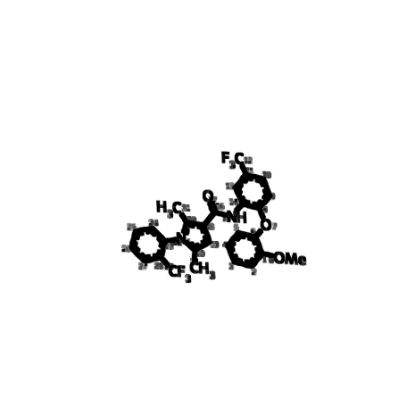 COc1ccccc1Oc1ccc(C(F)(F)F)cc1NC(=O)c1cc(C)n(-c2ccccc2C(F)(F)F)c1C